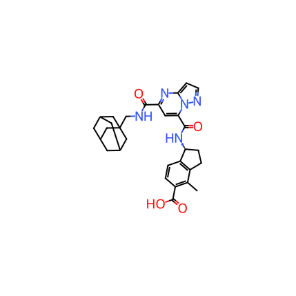 Cc1c(C(=O)O)ccc2c1CC[C@@H]2NC(=O)c1cc(C(=O)NCC23CC4CC(CC(C4)C2)C3)nc2ccnn12